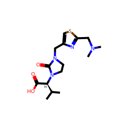 CC(C)[C@@H](C(=O)O)N1CCN(Cc2csc(CN(C)C)n2)C1=O